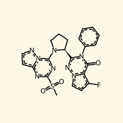 CS(=O)(=O)c1nc(N2CCC[C@H]2c2nn3ccc(F)c3c(=O)n2-c2ccccc2)n2nccc2n1